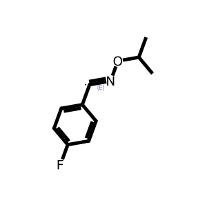 CC(C)O/N=[C]/c1ccc(F)cc1